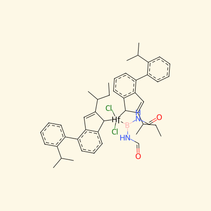 CCC(C)C1=Cc2c(-c3ccccc3C(C)C)cccc2[CH]1[Hf]([Cl])([Cl])([B](NC=O)NC=O)[CH]1C(C(C)CC)=Cc2c(-c3ccccc3C(C)C)cccc21